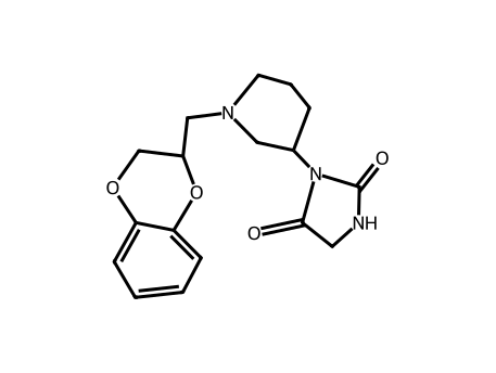 O=C1CNC(=O)N1C1CCCN(CC2COc3ccccc3O2)C1